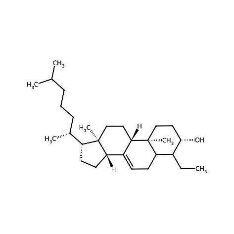 CCC1C2CC=C3[C@@H]4CC[C@H]([C@H](C)CCCC(C)C)[C@@]4(C)CC[C@@H]3[C@@]2(C)CC[C@@H]1O